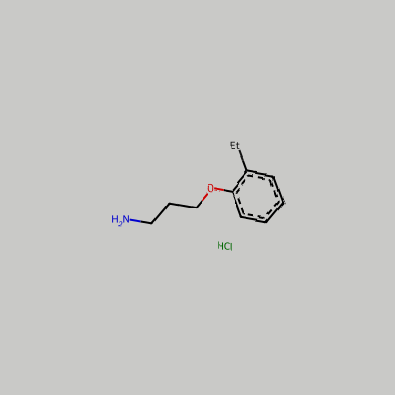 CCc1ccccc1OCCCN.Cl